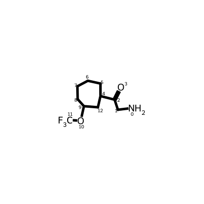 NCC(=O)C1CCCCC(OC(F)(F)F)C1